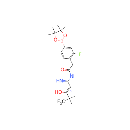 CC1(C)OB(c2ccc(CC(=O)NC(=N)/C=C(\O)C(C)(C)C(F)(F)F)c(F)c2)OC1(C)C